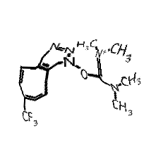 CN(C)C(On1nnc2ccc(C(F)(F)F)cc21)=[N+](C)C